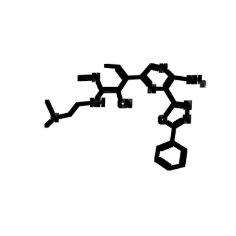 C=N/C(NCCN(C)C)=C(C#N)\C(=C/C)c1cnc(N)c(-c2nnc(-c3ccccc3)o2)n1